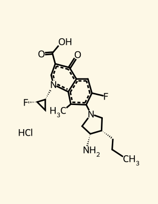 CCC[C@H]1CN(c2c(F)cc3c(=O)c(C(=O)O)cn([C@@H]4C[C@@H]4F)c3c2C)C[C@H]1N.Cl